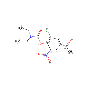 CCN(CC)C(=O)Oc1c(Cl)cc(C(C)=O)cc1[N+](=O)[O-]